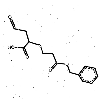 O=CCC(SCCC(=O)OCc1ccccc1)C(=O)O